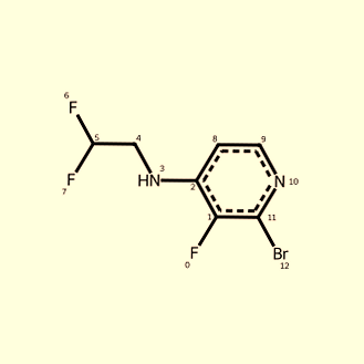 Fc1c(NCC(F)F)ccnc1Br